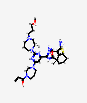 C=CC(=O)N1CCCN(c2cc(-c3noc([C@@]4(C)CCCc5sc(N)c(C#N)c54)n3)nc(N3CCCN(CCCOC)C[C@@H]3C)n2)CC1